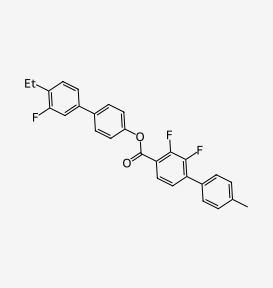 CCc1ccc(-c2ccc(OC(=O)c3ccc(-c4ccc(C)cc4)c(F)c3F)cc2)cc1F